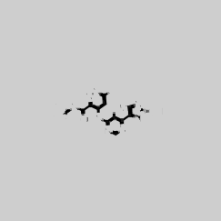 [2H]C([2H])([2H])NC(=O)c1nnc(Cl)cc1Nc1ncnc(-c2cnn(C)n2)c1OC